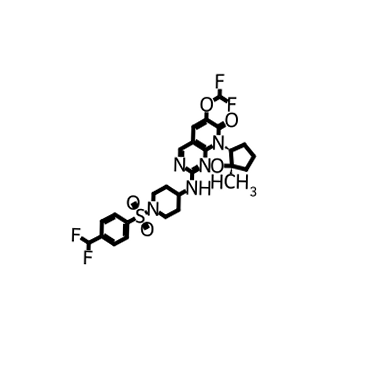 C[C@@]1(O)CCC[C@H]1n1c(=O)c(OC(F)F)cc2cnc(NC3CCN(S(=O)(=O)c4ccc(C(F)F)cc4)CC3)nc21